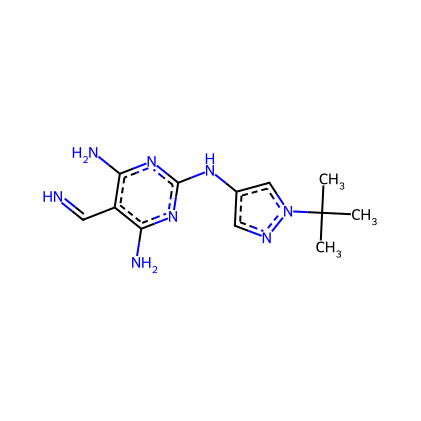 CC(C)(C)n1cc(Nc2nc(N)c(C=N)c(N)n2)cn1